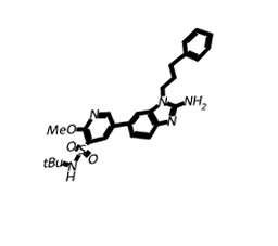 COc1ncc(-c2ccc3nc(N)n(CCCc4ccccc4)c3c2)cc1S(=O)(=O)NC(C)(C)C